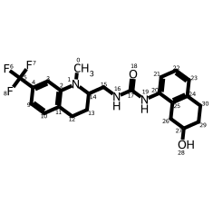 CN1c2cc(C(F)(F)F)ccc2CCC1CNC(=O)Nc1cccc2c1CC(O)CC2